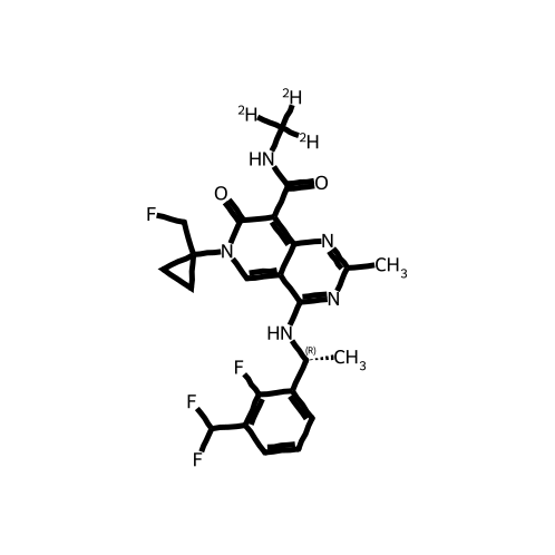 [2H]C([2H])([2H])NC(=O)c1c(=O)n(C2(CF)CC2)cc2c(N[C@H](C)c3cccc(C(F)F)c3F)nc(C)nc12